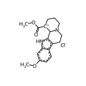 COC(=O)[C+]1CCCN2CCc3c([nH]c4cc(OC)ccc34)C12.[Cl-]